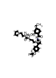 COc1ccc(C(=O)/N=c2\scc(-c3ccc(OC(F)(F)F)cc3)n2CCCNC(=O)NCCN2CCCC2)c(OC)c1